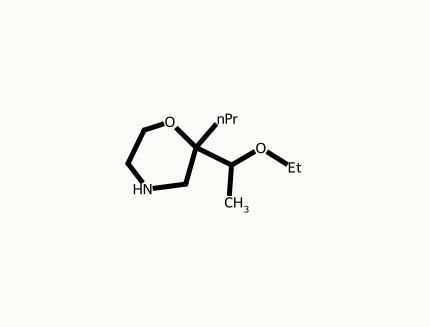 CCCC1(C(C)OCC)CNCCO1